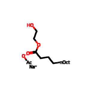 CC(=O)[O-].CCCCCCCCCCCC(=O)OCCO.[Na+]